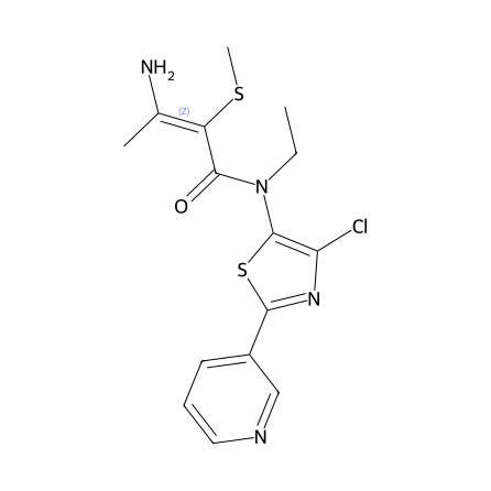 CCN(C(=O)/C(SC)=C(\C)N)c1sc(-c2cccnc2)nc1Cl